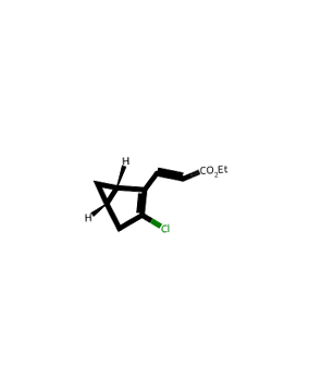 CCOC(=O)/C=C/C1=C(Cl)C[C@@H]2C[C@H]12